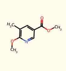 COC(=O)c1cnc(OC)c(C)c1